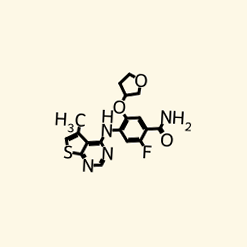 Cc1csc2ncnc(Nc3cc(F)c(C(N)=O)cc3OC3CCOC3)c12